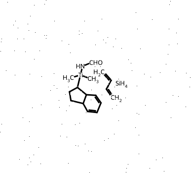 C=CC=C.[CH3][Ti]([CH3])([NH]C=O)[CH]1CCC2C=CC=CC21.[SiH4]